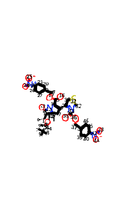 C[C@@H](O[Si](C)(C)C(C)(C)C)[C@H]1C(=O)N2C(C(=O)OCc3ccc([N+](=O)[O-])cc3)=C([C@@H]3CSCN3C(=O)OCc3ccc([N+](=O)[O-])cc3)C[C@H]12